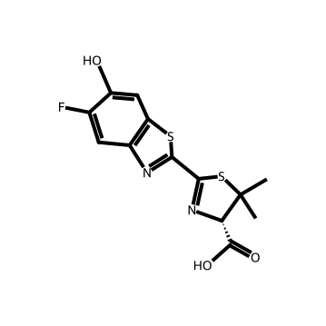 CC1(C)SC(c2nc3cc(F)c(O)cc3s2)=N[C@H]1C(=O)O